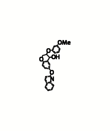 COc1cccc(O[C@@H]2COc3ccc(Oc4ccc5ccccc5n4)cc3[C@@H]2O)c1